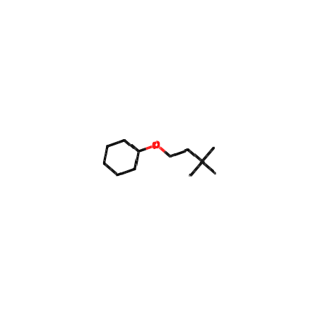 CC(C)(C)CCOC1CCCCC1